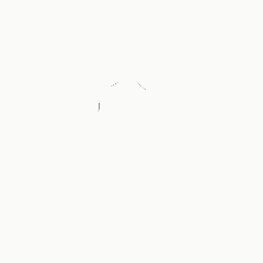 CCCCCCCC/C=C\C/C=C\C/C=C\CCSCC